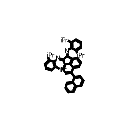 CC(C)c1cccc(C(C)C)c1N=C1C(=Nc2c(C(C)C)cccc2C(C)C)c2ccc(-c3cccc4ccccc34)c3cccc1c23